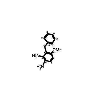 COc1ccc(N)c(N)c1Cc1ccccc1